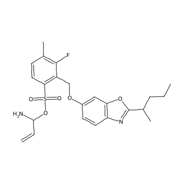 C=CC(N)OS(=O)(=O)c1ccc(C)c(F)c1COc1ccc2nc(C(C)CCC)oc2c1